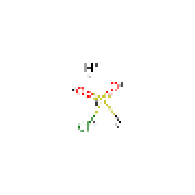 CS(=O)(=O)Cl.[H+]